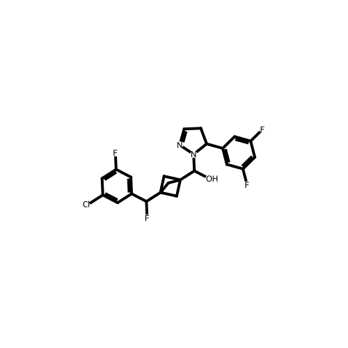 OC(N1N=CCC1c1cc(F)cc(F)c1)C12CC(C(F)c3cc(F)cc(Cl)c3)(C1)C2